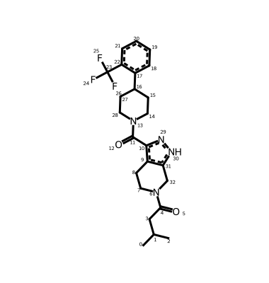 CC(C)CC(=O)N1CCc2c(C(=O)N3CCC(c4ccccc4C(F)(F)F)CC3)n[nH]c2C1